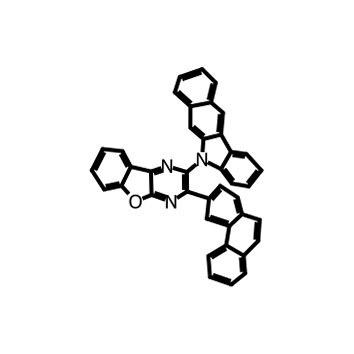 c1ccc2cc3c(cc2c1)c1ccccc1n3-c1nc2c(nc1-c1ccc3ccc4ccccc4c3c1)oc1ccccc12